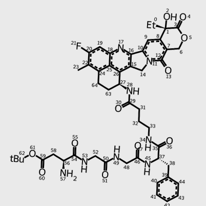 CC[C@@]1(O)C(=O)OCc2c1cc1n(c2=O)Cc2c-1nc1cc(F)c(C)c3c1c2[C@@H](NC(=O)CCCNC(=O)[C@H](Cc1ccccc1)NC(=O)CNC(=O)CNC(=O)[C@@H](N)CC(=O)OC(C)(C)C)CC3